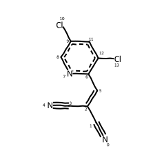 N#CC(C#N)=Cc1ncc(Cl)cc1Cl